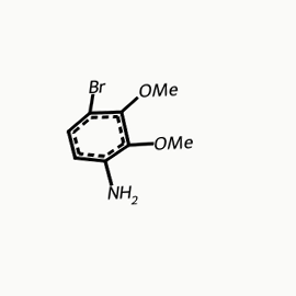 COc1c(N)ccc(Br)c1OC